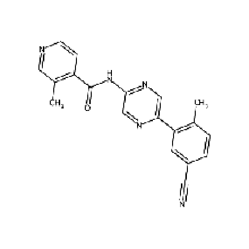 Cc1cnccc1C(=O)Nc1cnc(-c2cc(C#N)ccc2C)cn1